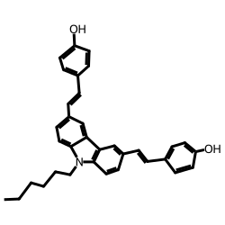 CCCCCCn1c2ccc(C=Cc3ccc(O)cc3)cc2c2cc(C=Cc3ccc(O)cc3)ccc21